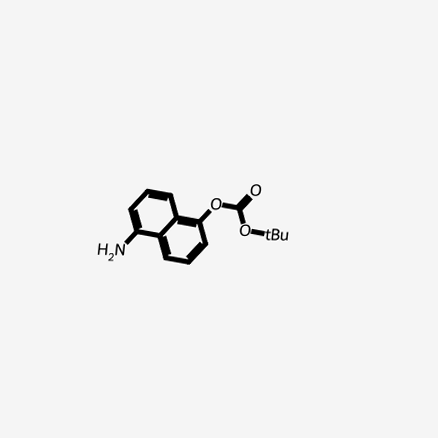 CC(C)(C)OC(=O)Oc1cccc2c(N)cccc12